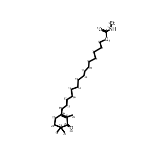 CCNC(=O)OCCCCCCCCCCCCCCCC1=C(C)C(=O)C(C)(C)CC1